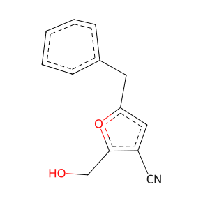 N#Cc1cc(Cc2ccccc2)oc1CO